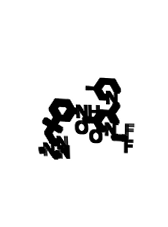 C[C@H]1CCCN(Cc2cc(C(=O)Nc3cccc(C(C)(C)Cc4nncn4C)c3)c(=O)n(CC(F)F)c2)C1